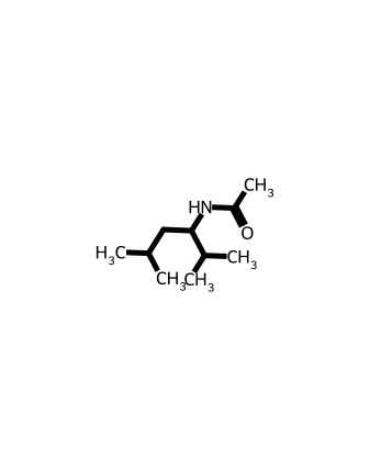 CC(=O)NC(CC(C)C)C(C)C